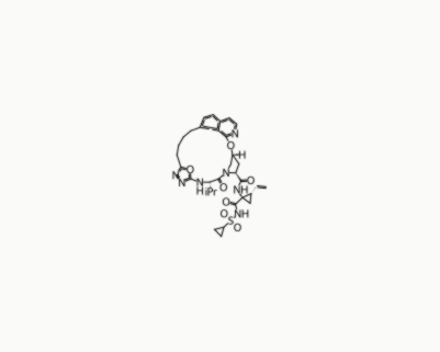 C=C[C@@H]1C[C@]1(NC(=O)[C@@H]1C[C@@H]2CN1C(=O)[C@H](C(C)C)Nc1nnc(o1)CCCCc1ccc3ccnc(c3c1)O2)C(=O)NS(=O)(=O)C1CC1